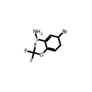 NSC1=CC(Br)CC=C1OC(F)(F)F